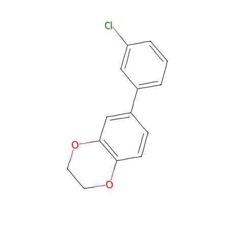 Clc1cccc(-c2ccc3c(c2)OCCO3)c1